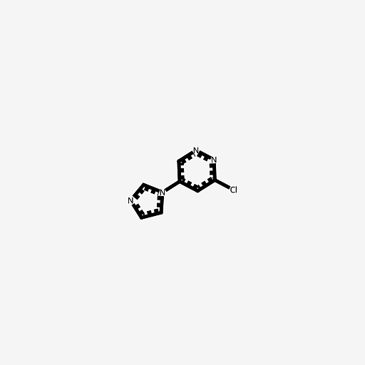 Clc1cc(-n2ccnc2)cnn1